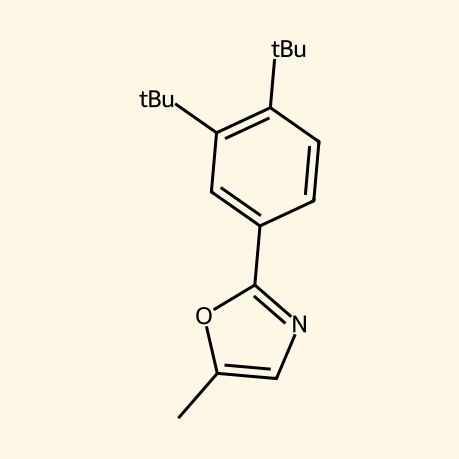 Cc1cnc(-c2ccc(C(C)(C)C)c(C(C)(C)C)c2)o1